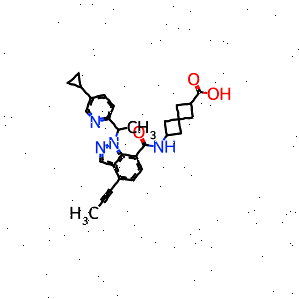 CC#Cc1ccc(C(=O)NC2CC3(C2)CC(C(=O)O)C3)c2c1cnn2C(C)c1ccc(C2CC2)cn1